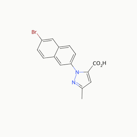 Cc1cc(C(=O)O)n(-c2ccc3cc(Br)ccc3c2)n1